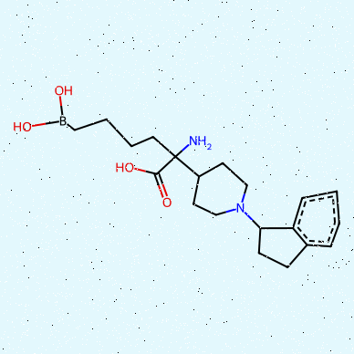 NC(CCCCB(O)O)(C(=O)O)C1CCN(C2CCc3ccccc32)CC1